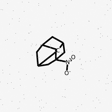 O=[N+]([O-])C12C[C]3CC(CC(C3)C1)C2